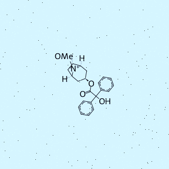 CO[C@H]1C[C@@H]2C[C@H](OC(=O)C(O)(c3ccccc3)c3ccccc3)C[C@H]1[N+]2(C)C